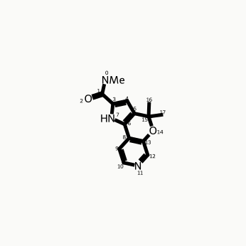 CNC(=O)c1cc2c([nH]1)-c1ccncc1OC2(C)C